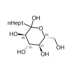 CCCCCCCC1(O)O[C@H](CO)[C@@H](O)[C@H](O)[C@H]1O